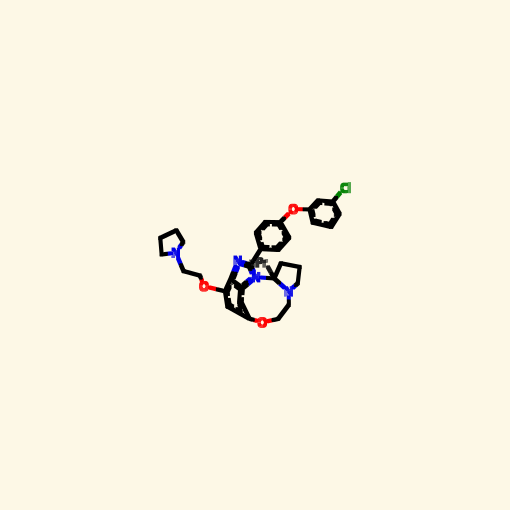 CCCC12CCCN1CCOc1cc(OCCN3CCCC3)c3nc(-c4ccc(Oc5cccc(Cl)c5)cc4)n2c3c1